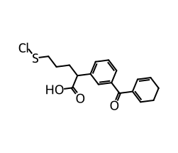 O=C(C1=CCCC=C1)c1cccc(C(CCCSCl)C(=O)O)c1